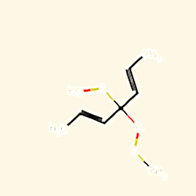 BSOC(C=CC)(C=CC)SO